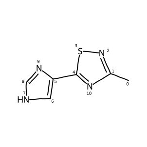 Cc1nsc(-c2c[nH][c]n2)n1